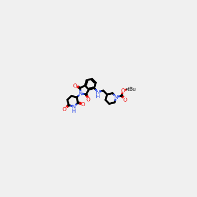 CC(C)(C)OC(=O)N1CCCC(CNc2cccc3c2C(=O)N(C2CCC(=O)NC2=O)C3=O)C1